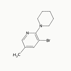 Cc1cnc(N2CCCCC2)c(Br)c1